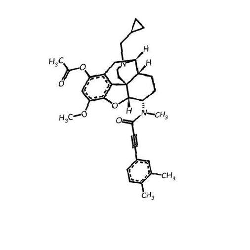 COc1cc(OC(C)=O)c2c3c1O[C@H]1[C@@H](N(C)C(=O)C#Cc4ccc(C)c(C)c4)CC[C@H]4[C@@H](C2)N(CC2CC2)CC[C@@]341